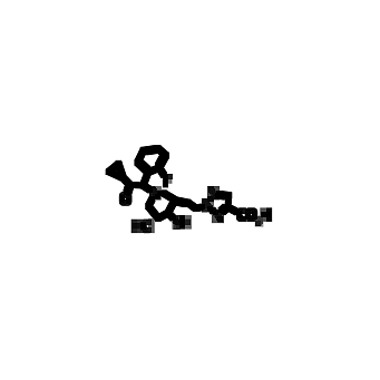 Cl.O=C(O)c1cnn(C/C=C2/CN(C(C(=O)C3CC3)c3ccccc3F)CCC2S)n1